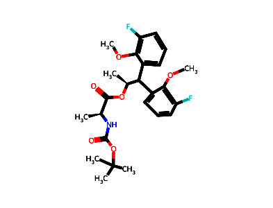 COc1c(F)cccc1C(c1cccc(F)c1OC)[C@H](C)OC(=O)[C@H](C)NC(=O)OC(C)(C)C